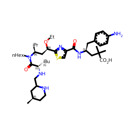 CCCCCCN(C(=O)[C@@H](NCC1C[C@H](C)CCN1)[C@@H](C)CC)[C@H](C[C@@H](OCC)c1nc(C(=O)N[C@@H](Cc2ccc(N)cc2)CC(C)(C)C(=O)O)cs1)C(C)C